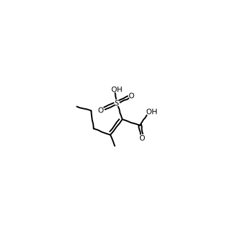 CCCC(C)=C(C(=O)O)S(=O)(=O)O